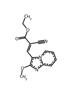 CCOC(=O)C(C#N)=Cc1c(OC)nc2ccccn12